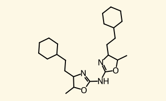 CC1OC(NC2=NC(CCC3CCCCC3)C(C)O2)=NC1CCC1CCCCC1